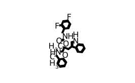 C[C@H](NC(=O)[C@@](C)(Cc1c[nH]c2ccccc12)OC(=O)NCc1ccc(F)cc1F)c1ccccc1